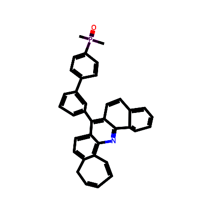 CP(C)(=O)c1ccc(-c2cccc(-c3c4ccc5c(c4nc4c3ccc3ccccc34)C=CC=CC5)c2)cc1